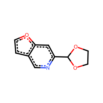 c1cc2cnc(C3OCCO3)cc2o1